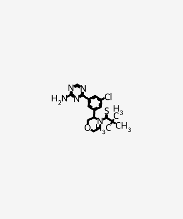 CC(C)(C)C(=S)N1CCOCC1c1cc(Cl)cc(-c2ncnc(N)n2)c1